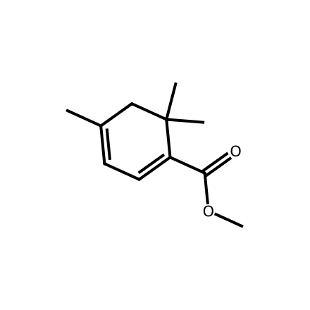 COC(=O)C1=CC=C(C)CC1(C)C